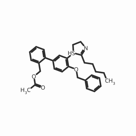 CCCCCC1=NCC[SH]1c1cc(-c2ccccc2COC(C)=O)ccc1OCc1ccccc1